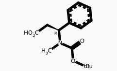 CN(C(=O)OC(C)(C)C)[C@@H](CC(=O)O)c1ccccc1